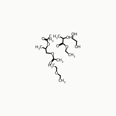 CC(=O)OCC(C)OC(C)=O.CCOC(=O)C(C)O.CCOCC.OCCO